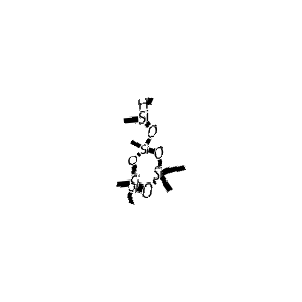 C[SiH](C)O[Si]1(C)O[Si](C)(C)O[Si](C)(C)O1